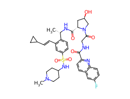 C[C@H](NC(=O)[C@@H]1C[C@@H](O)CN1C(=O)CNC(=O)c1ccc2cc(F)ccc2n1)c1ccc(S(=O)(=O)NC2CCN(C)CC2)cc1/C=C/C1CC1